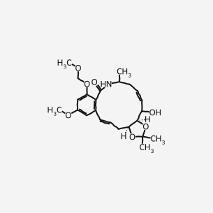 COCOc1cc(OC)cc2c1C(=O)NC(C)C/C=C\C(O)[C@H]1OC(C)(C)O[C@H]1C/C=C/2